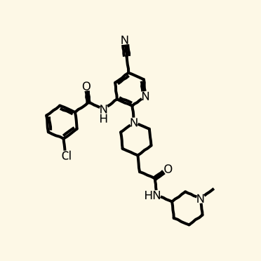 CN1CCCC(NC(=O)CC2CCN(c3ncc(C#N)cc3NC(=O)c3cccc(Cl)c3)CC2)C1